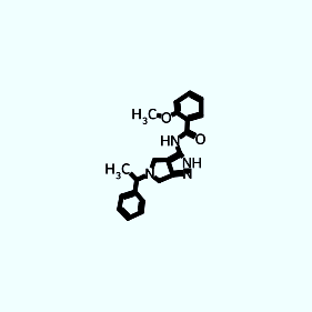 COc1ccccc1C(=O)Nc1[nH]nc2c1CN(C(C)c1ccccc1)C2